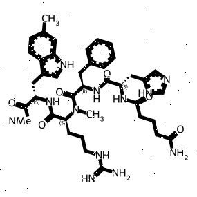 CNC(=O)[C@H](Cc1c[nH]c2cc(C)ccc12)NC(=O)[C@H](CCCNC(=N)N)N(C)C(=O)[C@@H](Cc1ccccc1)NC(=O)[C@H](Cc1cnc[nH]1)NC(=O)CCCC(N)=O